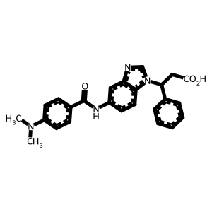 CN(C)c1ccc(C(=O)Nc2ccc3c(c2)ncn3C(CC(=O)O)c2ccccc2)cc1